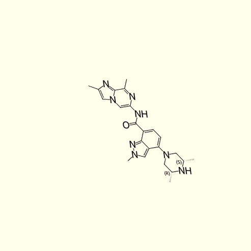 Cc1cn2cc(NC(=O)c3ccc(N4C[C@@H](C)N[C@@H](C)C4)c4cn(C)nc34)nc(C)c2n1